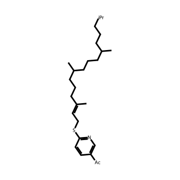 CC(=O)c1ccc(SC/C=C(\C)CCCC(C)CCCC(C)CCCC(C)C)nc1